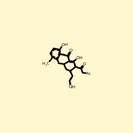 CC(=O)CC(=O)C1C(O)=C2C(=O)c3c(O)ccc(C)c3CC2CC1CCO